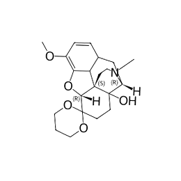 COC1=C2O[C@H]3C4(CCC5(O)[C@H]6CC(C=C1)C2[C@@]35CCN6C)OCCCO4